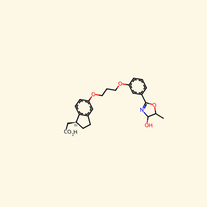 CC1OC(c2cccc(OCCCOc3ccc4c(c3)CC[C@H]4CC(=O)O)c2)=NC1O